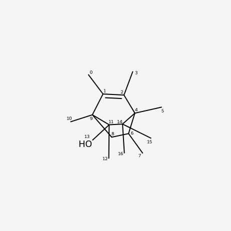 CC1=C(C)C2(C)C(C)CC1(C)C(C)(O)C2(C)C